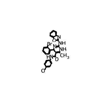 CC1=C(C(=O)Nc2ccc(Cl)cc2)C(c2ccccc2Br)N=C(Nc2nc3ccccc3o2)N1